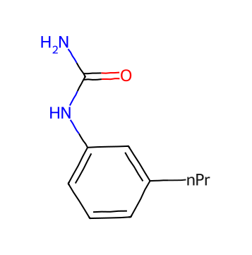 CCCc1cccc(NC(N)=O)c1